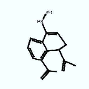 C=C(C)c1cccc2c1C(C(=C)C)CC=C2NCCC